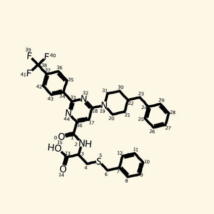 O=C(NC(CSCc1ccccc1)C(=O)O)c1cc(N2CCC(Cc3ccccc3)CC2)nc(-c2ccc(C(F)(F)F)cc2)n1